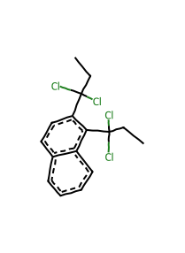 CCC(Cl)(Cl)c1ccc2ccccc2c1C(Cl)(Cl)CC